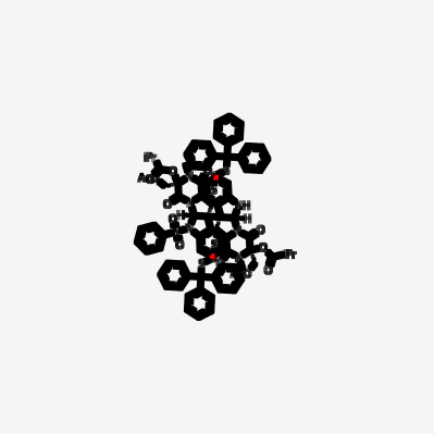 CC(=O)OC[C@@]1(OC(=O)C(C)C)C(=O)N2[C@H]3Nc4ccccc4[C@@]3([C@]34C[C@]5(SSSC(c6ccccc6)(c6ccccc6)c6ccccc6)C(=O)N(C)[C@](COC(C)=O)(OC(=O)C(C)C)C(=O)N5[C@H]3N(S(=O)(=O)c3ccccc3)c3ccccc34)C[C@]2(SSSC(c2ccccc2)(c2ccccc2)c2ccccc2)C(=O)N1C